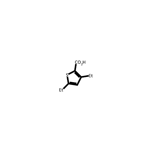 CCc1cc(CC)c(C(=O)O)s1